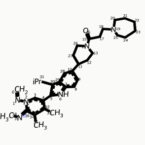 C=Nn1cc(-c2[nH]c3ccc(C4CCN(C(=O)CCN5CCCCCC5)CC4)cc3c2C(C)C)c(C)c(C)/c1=N/C